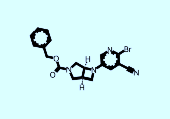 N#Cc1cc(N2C[C@H]3CN(C(=O)OCc4ccccc4)C[C@H]32)cnc1Br